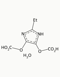 CCc1nc(OC(=O)O)c(OC(=O)O)[nH]1.O